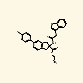 CCOC(=O)C1(NC(=O)Cc2c[nH]c3ccccc23)Cc2ccc(-c3ccc(Cl)cc3)cc2C1